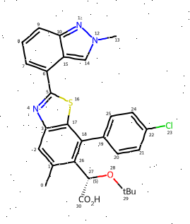 Cc1cc2nc(-c3cccc4nn(C)cc34)sc2c(-c2ccc(Cl)cc2)c1[C@H](OC(C)(C)C)C(=O)O